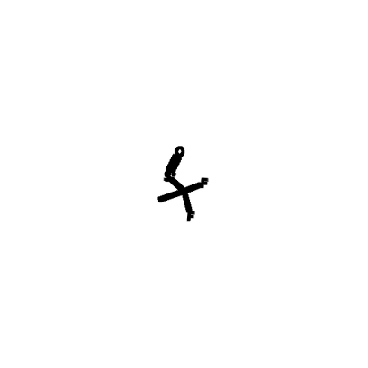 CC(F)(F)[S+]=O